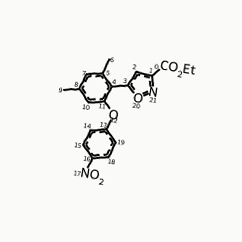 CCOC(=O)c1cc(-c2c(C)cc(C)cc2Oc2ccc([N+](=O)[O-])cc2)on1